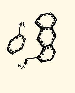 C=Cc1cccc2cc3ccccc3cc12.Nc1ccccc1